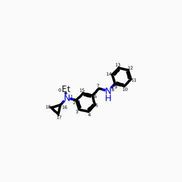 CCN(c1cccc(CNc2ccccc2)c1)C1CC1